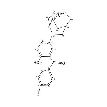 O=C(c1ccc(I)cc1)c1cc(C2CC3CC4CCC2C(C4)C3)ccc1O